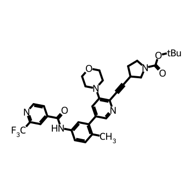 Cc1ccc(NC(=O)c2ccnc(C(F)(F)F)c2)cc1-c1cnc(C#CC2CCN(C(=O)OC(C)(C)C)C2)c(N2CCOCC2)c1